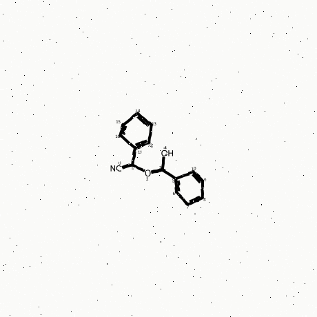 N#CC(OC(O)c1ccccc1)c1ccccc1